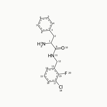 NC(Cc1ccccc1)C(=O)NCc1cccc(Cl)c1F